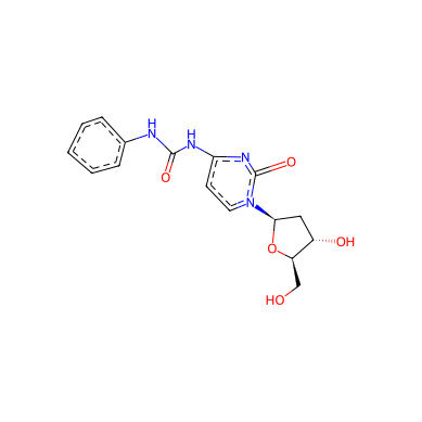 O=C(Nc1ccccc1)Nc1ccn([C@H]2C[C@H](O)[C@@H](CO)O2)c(=O)n1